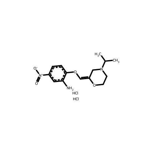 CC(C)N1CCOC(=COc2ccc([N+](=O)[O-])cc2N)C1.Cl.Cl